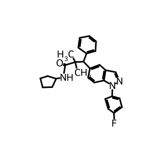 CC(C)(C(=O)NC1CCCC1)C(c1ccccc1)c1ccc2c(cnn2-c2ccc(F)cc2)c1